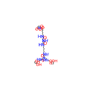 C=C(CN(CC(=O)NCCCCCCNC(=O)CNCC(=O)NCCCCCC(=O)ON1C(=O)CCC1=O)CC(=O)NCCOC1OCCCC1O)NCCOC1OCCCC1O